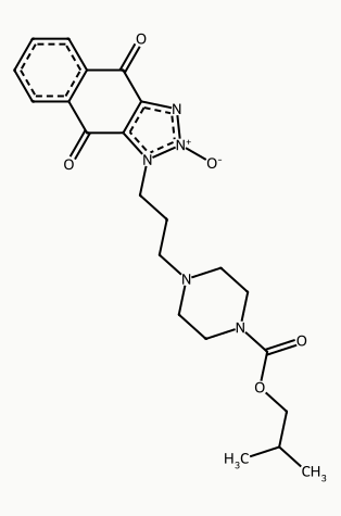 CC(C)COC(=O)N1CCN(CCCn2c3c(n[n+]2[O-])C(=O)c2ccccc2C3=O)CC1